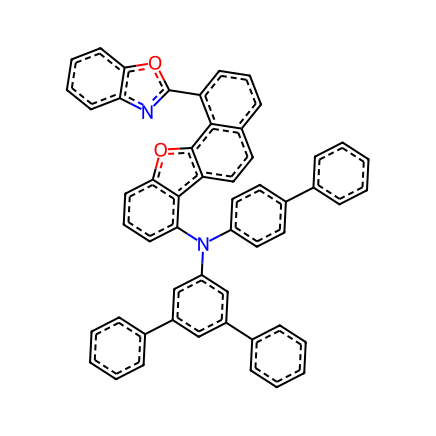 c1ccc(-c2ccc(N(c3cc(-c4ccccc4)cc(-c4ccccc4)c3)c3cccc4oc5c(ccc6cccc(-c7nc8ccccc8o7)c65)c34)cc2)cc1